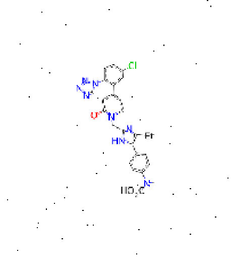 CCc1nc(Cn2ccc(-c3cc(Cl)ccc3-n3cnnn3)cc2=O)[nH]c1-c1ccc(N(C)C(=O)O)cc1